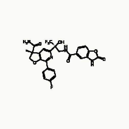 C[C@]1(C(N)=O)COc2c1cc([C@@](O)(CNC(=O)c1ccc3oc(=O)[nH]c3c1)C(F)(F)F)nc2-c1ccc(F)cc1